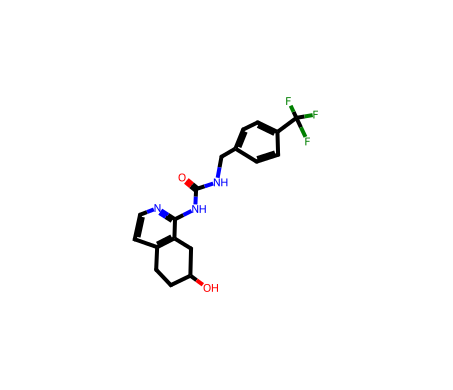 O=C(NCc1ccc(C(F)(F)F)cc1)Nc1nccc2c1CC(O)CC2